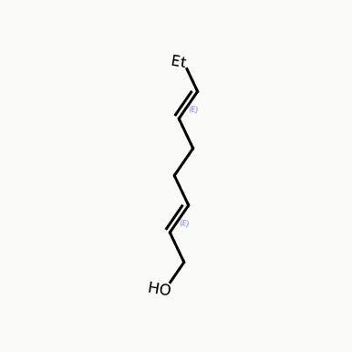 CC/C=C/CC/C=C/CO